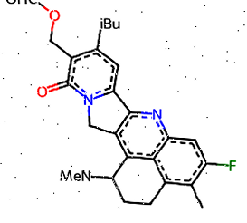 CCC(C)c1cc2n(c(=O)c1COC=O)Cc1c-2nc2cc(F)c(C)c3c2c1C(NC)CC3